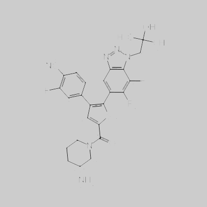 CC(C)(O)Cn1nnc2cc(-c3sc(C(=O)N4CCC[C@@H](N)C4)cc3-c3ccc(C#N)c(F)c3)c(F)c(F)c21